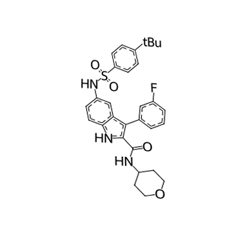 CC(C)(C)c1ccc(S(=O)(=O)Nc2ccc3[nH]c(C(=O)NC4CCOCC4)c(-c4cccc(F)c4)c3c2)cc1